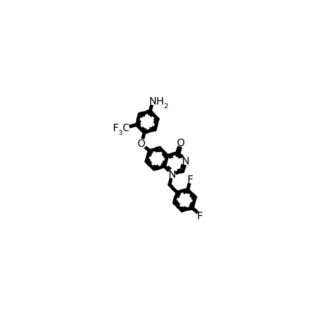 Nc1ccc(Oc2ccc3c(c2)c(=O)ncn3Cc2ccc(F)cc2F)c(C(F)(F)F)c1